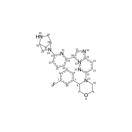 Fc1cccc(C2COCCN2c2ccc3ncc(-c4cccc(N5CC6CC5CN6)n4)n3n2)c1